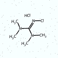 CN(C)C(=NCl)N(C)C.Cl